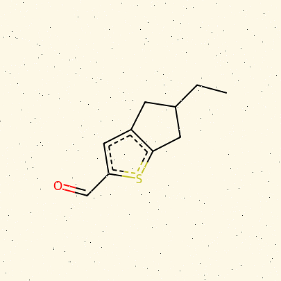 CCC1Cc2cc(C=O)sc2C1